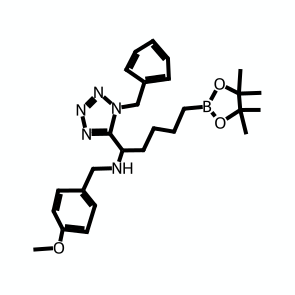 COc1ccc(CNC(CCCCB2OC(C)(C)C(C)(C)O2)c2nnnn2Cc2ccccc2)cc1